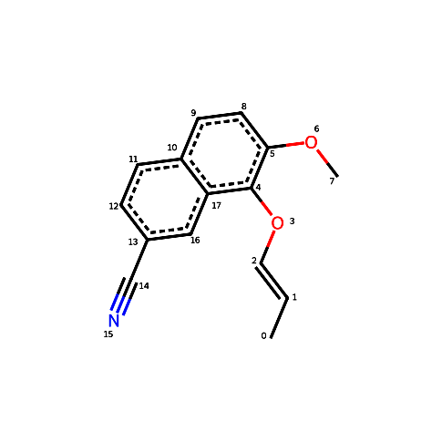 CC=COc1c(OC)ccc2ccc(C#N)cc12